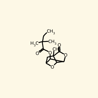 CCC(C)(C)C(=O)OC1C2CC3(C)C(=O)OC1C3O2